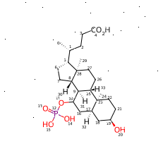 C[C@H](CCC(=O)O)[C@H]1CC[C@H]2[C@@H]3C(OP(=O)(O)O)C[C@@H]4C[C@H](O)CC[C@]4(C)[C@H]3CC[C@]12C